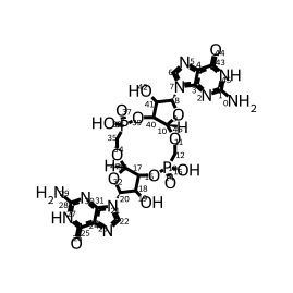 Nc1nc2c(ncn2[C@@H]2O[C@@H]3OCP(=O)(O)OC4C(O)[C@H](n5cnc6c(=O)[nH]c(N)nc65)O[C@@H]4OCP(=O)(O)OC3C2O)c(=O)[nH]1